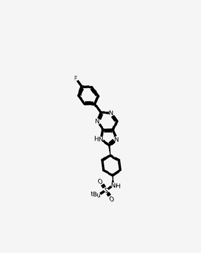 CC(C)(C)S(=O)(=O)N[C@H]1CC[C@@H](c2nc3cnc(-c4ccc(F)cc4)nc3[nH]2)CC1